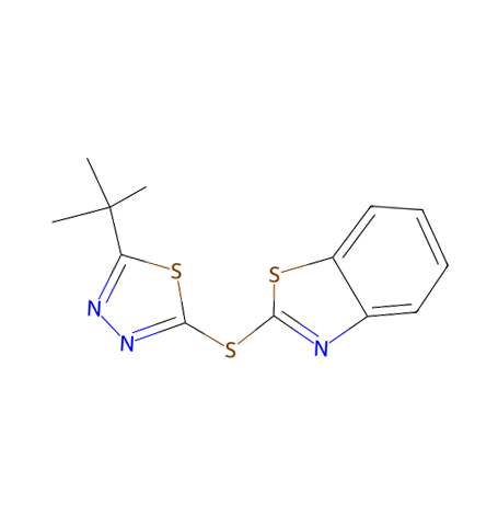 CC(C)(C)c1nnc(Sc2nc3ccccc3s2)s1